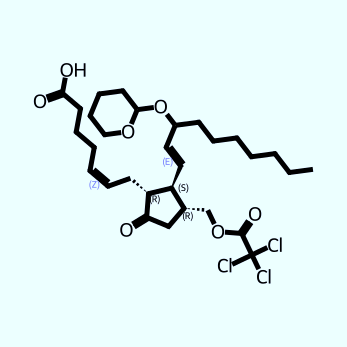 CCCCCCCC(/C=C/[C@H]1[C@H](COC(=O)C(Cl)(Cl)Cl)CC(=O)[C@@H]1C/C=C\CCCC(=O)O)OC1CCCCO1